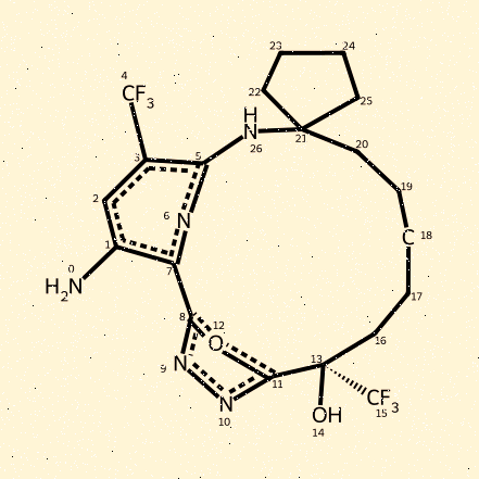 Nc1cc(C(F)(F)F)c2nc1-c1nnc(o1)[C@@](O)(C(F)(F)F)CCCCCC1(CCCC1)N2